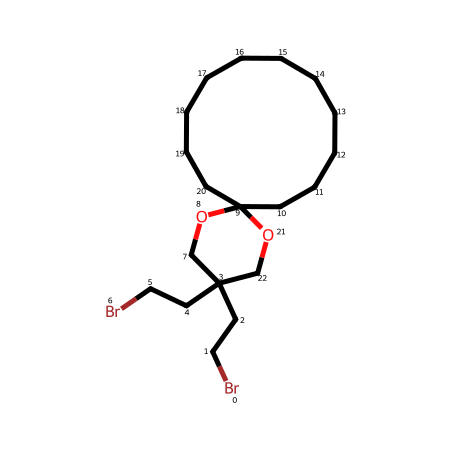 BrCCC1(CCBr)COC2(CCCCCCCCCCC2)OC1